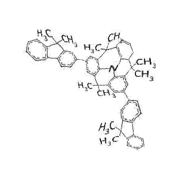 CC1(C)C2=C3C(CC=C2)C(C)(C)c2cc(-c4ccc5c(c4)C(C)(C)c4ccccc4-5)cc4c2N3c2c1cc(-c1ccc3c(c1)C(C)(C)c1ccccc1-3)cc2C4(C)C